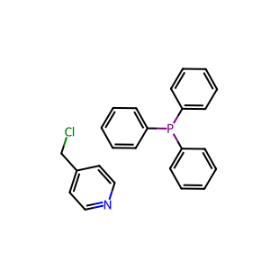 ClCc1ccncc1.c1ccc(P(c2ccccc2)c2ccccc2)cc1